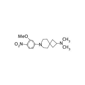 COc1cc(N2CCC3(CC2)CC(N(C)C)C3)ccc1[N+](=O)[O-]